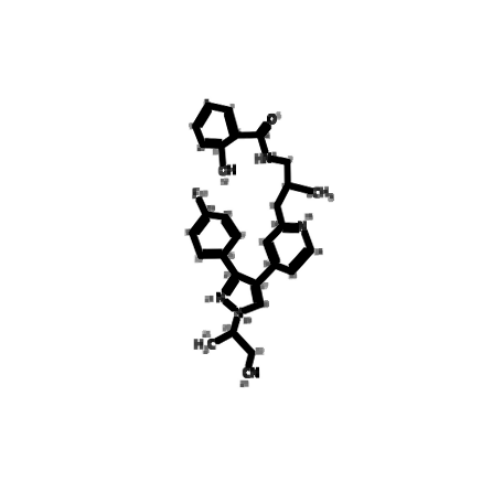 CC(CNC(=O)c1ccccc1O)Cc1cc(-c2cn(C(C)CC#N)nc2-c2ccc(F)cc2)ccn1